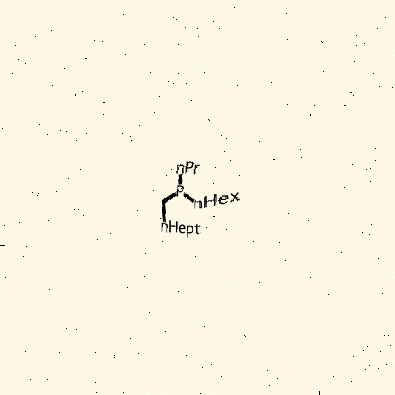 CCCCCCCCP(CCC)CCCCCC